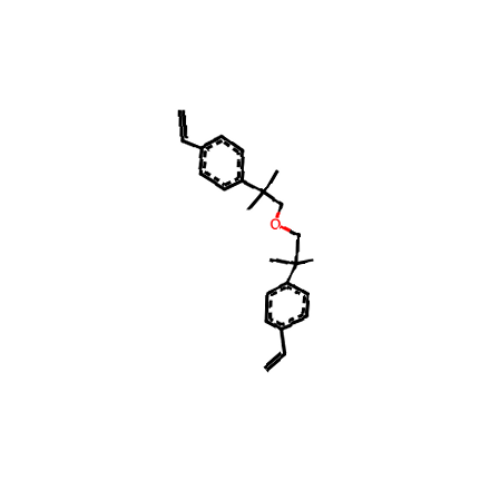 C=Cc1ccc(C(C)(C)COCC(C)(C)c2ccc(C=C)cc2)cc1